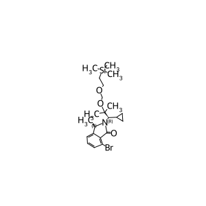 C[C@@H]1c2cccc(Br)c2C(=O)N1[C@H](C1CC1)C(C)(C)OCOCC[Si](C)(C)C